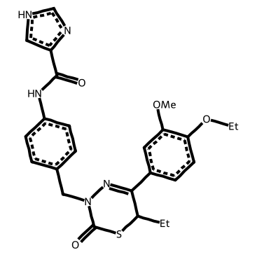 CCOc1ccc(C2=NN(Cc3ccc(NC(=O)c4c[nH]cn4)cc3)C(=O)SC2CC)cc1OC